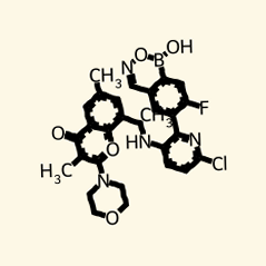 Cc1cc([C@@H](C)Nc2ccc(Cl)nc2-c2cc3c(cc2F)B(O)ON=C3)c2oc(N3CCOCC3)c(C)c(=O)c2c1